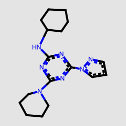 c1cnn(-c2nc(NC3CCCCC3)nc(N3CCCCC3)n2)c1